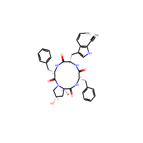 C#Cc1[nH]cc(C[C@@H]2NC(=O)[C@H](Cc3ccccc3)NC(=O)[C@H]3C[C@H](O)CN3C(=O)[C@H](Cc3ccccc3)NC2=O)c1/C=C\C